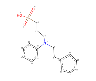 O=S(=O)(O)CCCN(CCc1ccccc1)c1ccccc1